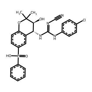 CC1(C)Oc2ccc(P(=O)(O)c3ccccc3)cc2[C@@H](NC(=NC#N)Nc2ccc(Cl)cc2)[C@@H]1O